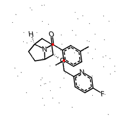 Cc1ccc(C)c(C(=O)N2C3CC[C@H]2CC[C@@H]3OCc2ccc(F)cn2)c1